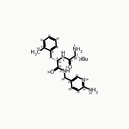 CCC(C)[C@@H](N)C(=O)N[C@@H](Cc1ccccc1C)C(=O)NCc1ccc(N)nc1